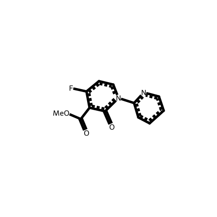 COC(=O)c1c(F)ccn(-c2ccccn2)c1=O